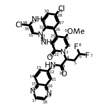 COc1cn(C(CC(F)F)C(=O)Nc2ccc3nccnc3c2)c(=O)cc1-c1cc(Cl)ccc1N(N)/C=C(\N)Cl